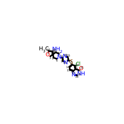 C[C@@H]1OCC2(CCN(c3cnc(Sc4ccc5nc[nH]c(=O)c5c4Cl)cn3)CC2)[C@@H]1N